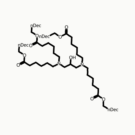 CCCCCCCCCCCOC(=O)CCCCCN(CCCCCC(=O)OCCCCCCCCCCC)CC(O)CN(CCCCCC(=O)OCCCCCCCCCCC)CCCCCC(=O)OCCCCCCCCCCC